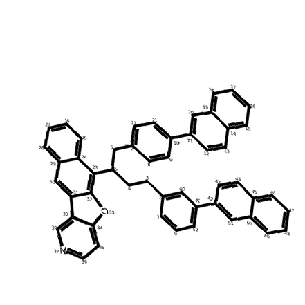 c1cc(CCC(Cc2ccc(-c3ccc4ccccc4c3)cc2)c2c3ccccc3cc3c2oc2ccncc23)cc(-c2ccc3ccccc3c2)c1